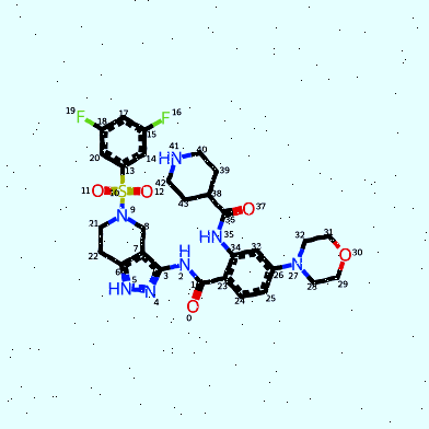 O=C(Nc1n[nH]c2c1CN(S(=O)(=O)c1cc(F)cc(F)c1)CC2)c1ccc(N2CCOCC2)cc1NC(=O)C1CCNCC1